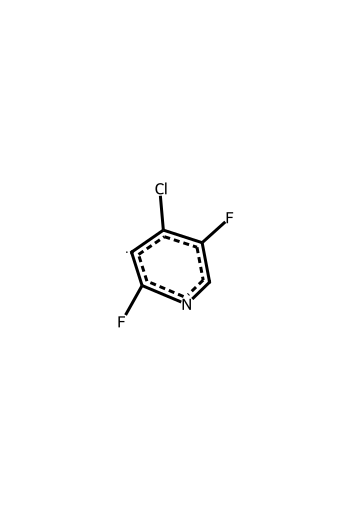 Fc1[c]c(Cl)c(F)cn1